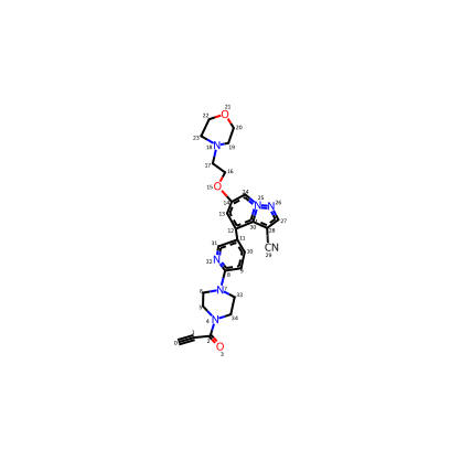 C#CC(=O)N1CCN(c2ccc(-c3cc(OCCN4CCOCC4)cn4ncc(C#N)c34)cn2)CC1